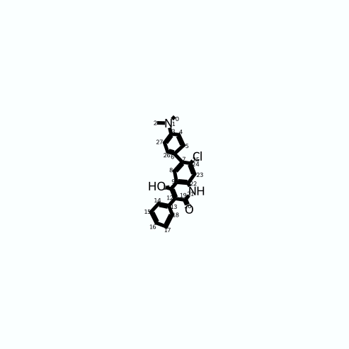 CN(C)c1ccc(-c2cc3c(O)c(-c4ccccc4)c(=O)[nH]c3cc2Cl)cc1